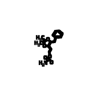 CC1(C)OC(CCOS(N)(=O)=O)C(Cc2ccccc2)O1